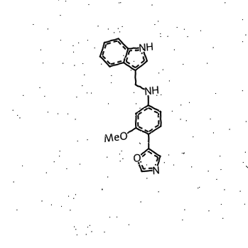 COc1cc(NCc2c[nH]c3ccccc23)ccc1-c1cnco1